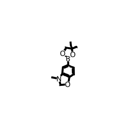 CN1COc2ccc(B3OCC(C)(C)O3)cc21